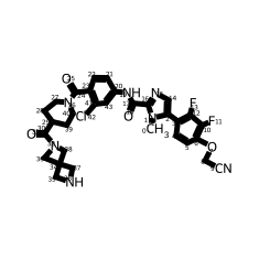 Cn1c(-c2ccc(OCC#N)c(F)c2F)cnc1C(=O)Nc1ccc(C(=O)N2CCC(C(=O)N3CC4(CNC4)C3)CC2)c(Cl)c1